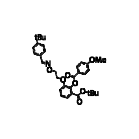 COc1ccc(C(=O)Oc2c(OCCON=Cc3ccc(C(C)(C)C)cc3)cccc2C(=O)OC(C)(C)C)cc1